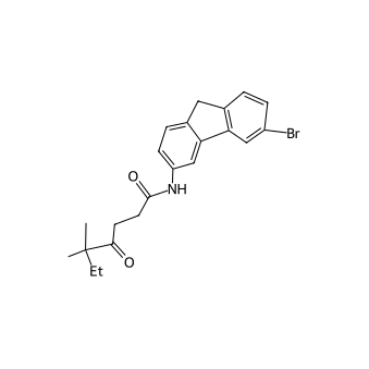 CCC(C)(C)C(=O)CCC(=O)Nc1ccc2c(c1)-c1cc(Br)ccc1C2